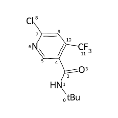 CC(C)(C)NC(=O)c1cnc(Cl)cc1C(F)(F)F